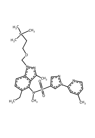 CCc1ccc2c(c(C)nn2COCC[Si](C)(C)C)c1N(C)S(=O)(=O)c1cnn(-c2cc(C)ccn2)c1